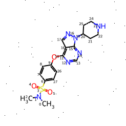 CN(C)S(=O)(=O)c1ccc(Oc2ncnc3c2cnn3C2CCNCC2)cc1